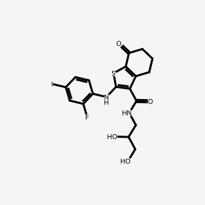 O=C1CCCc2c1sc(Nc1ccc(I)cc1F)c2C(=O)NCC(O)CO